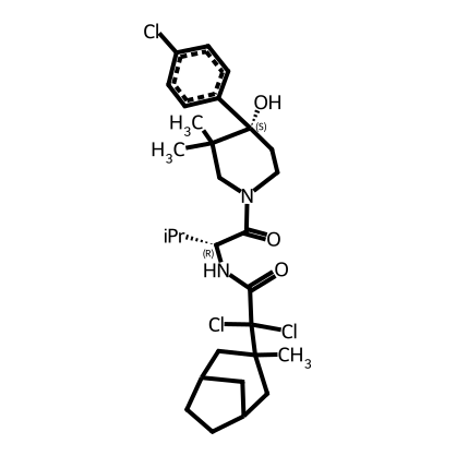 CC(C)[C@@H](NC(=O)C(Cl)(Cl)C1(C)CC2CCC(C2)C1)C(=O)N1CC[C@](O)(c2ccc(Cl)cc2)C(C)(C)C1